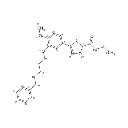 CCOC(=O)C1CC(c2ccc(OC)c(OCCCCCc3ccccc3)c2)=NO1